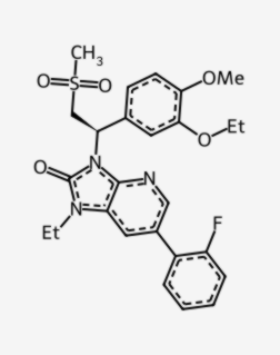 CCOc1cc([C@H](CS(C)(=O)=O)n2c(=O)n(CC)c3cc(-c4ccccc4F)cnc32)ccc1OC